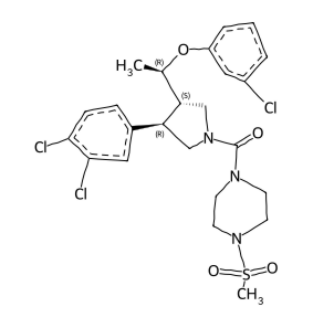 C[C@@H](Oc1cccc(Cl)c1)[C@@H]1CN(C(=O)N2CCN(S(C)(=O)=O)CC2)C[C@H]1c1ccc(Cl)c(Cl)c1